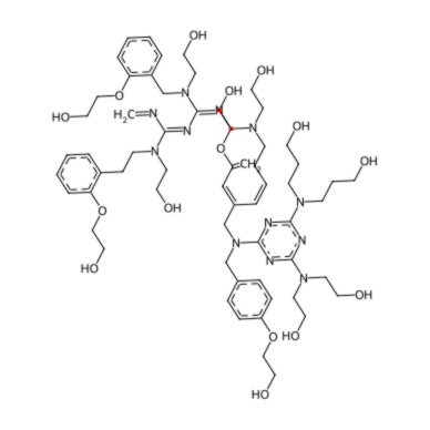 C=N/C(=N\C(=N/CN(CCO)CC/C=C\C(=C/C(=C)OCCO)CN(Cc1ccc(OCCO)cc1)c1nc(N(CCO)CCO)nc(N(CCCO)CCCO)n1)N(CCO)Cc1ccccc1OCCO)N(CCO)CCc1ccccc1OCCO